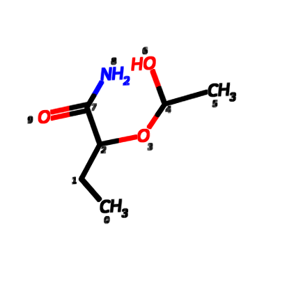 CCC(OC(C)O)C(N)=O